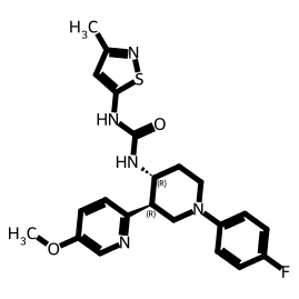 COc1ccc([C@@H]2CN(c3ccc(F)cc3)CC[C@H]2NC(=O)Nc2cc(C)ns2)nc1